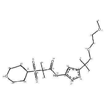 COCCOCC(C)(C)c1cc(NC(=O)C(C)(C)S(=O)(=O)C2CCOCC2)no1